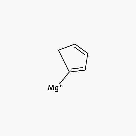 [Mg+][C]1=CC=CC1